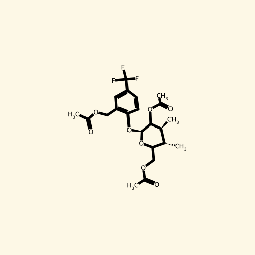 CC(=O)OCc1cc(C(F)(F)F)ccc1O[C@@H]1OC(COC(C)=O)[C@@H](C)[C@H](C)C1OC(C)=O